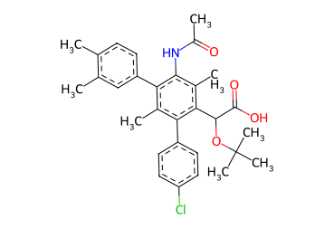 CC(=O)Nc1c(C)c(C(OC(C)(C)C)C(=O)O)c(-c2ccc(Cl)cc2)c(C)c1-c1ccc(C)c(C)c1